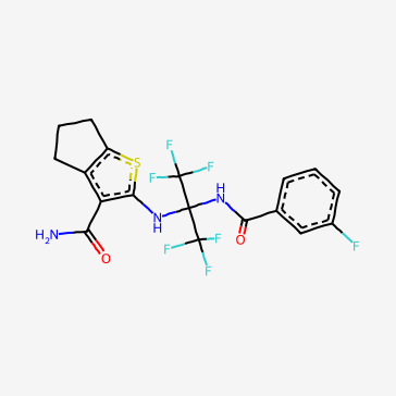 NC(=O)c1c(NC(NC(=O)c2cccc(F)c2)(C(F)(F)F)C(F)(F)F)sc2c1CCC2